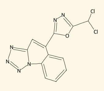 ClC(Cl)c1nnc(-c2cc3nnnn3c3ccccc23)o1